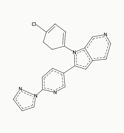 ClC1=CC=C(n2c(-c3ccc(-n4cccn4)nc3)cc3ccncc32)CC1